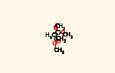 CCCOC(=O)CC(C)(C)c1cc(OC)cc(OC)c1